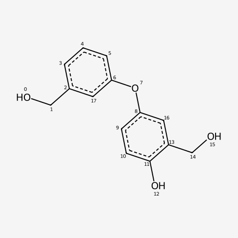 OCc1cccc(Oc2ccc(O)c(CO)c2)c1